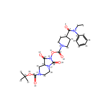 CCN(C(=O)C1CCN(C(=O)ON2C(=O)C3CN(C(=O)OC(C)(C)C)CCN3C2=O)CC1)c1ccccc1